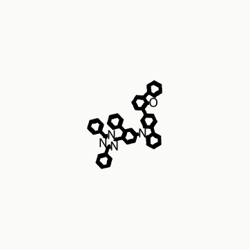 c1ccc(-c2nc(-c3ccccc3)nc(-c3ccc(-n4c5ccccc5c5ccc(-c6cccc7c6oc6ccccc67)cc54)cc3-c3ccccc3)n2)cc1